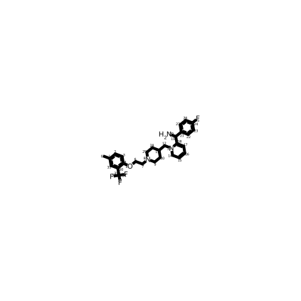 Cc1ccc(OCCN2CCC(CN3CC=CC=C3C(N)c3ccc(F)cc3)CC2)c(C(F)(F)F)c1